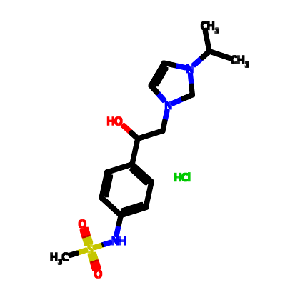 CC(C)N1C=CN(CC(O)c2ccc(NS(C)(=O)=O)cc2)C1.Cl